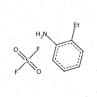 CCc1ccccc1N.O=S(=O)(F)F